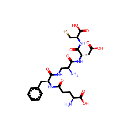 N[C@@H](CCC(=O)N[C@@H](Cc1ccccc1)C(=O)NC[C@H](N)C(=O)N[C@@H](CC(=O)O)C(=O)N[C@@H](CS)C(=O)O)C(=O)O